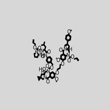 C=CCOC(=O)N1C[C@@H]2CC(c3ccc(OC)cc3)=CN2C(=O)c2cc(OC)c(OCCCOc3cc4c(cc3OC)C(=O)N3CC5(CC5)C[C@H]3C(O)N4C(=O)OCc3ccc(NC(=O)C(CC(C)C)NC(=O)[C@@H]4CCCN4C(=O)OCC=C)cc3)cc21